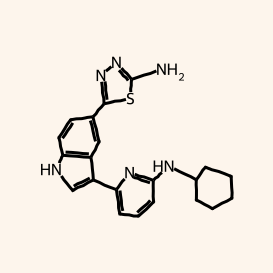 Nc1nnc(-c2ccc3[nH]cc(-c4cccc(NC5CCCCC5)n4)c3c2)s1